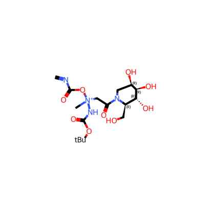 C=NC(=O)O[N+](C)(CC(=O)N1C[C@@H](O)[C@@H](O)[C@H](O)[C@H]1CO)NC(=O)OC(C)(C)C